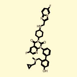 CN(Cc1cc(O)ccc1-c1cccc(-n2c(=O)n(C3CCC(NCc4cn5cc(F)ccc5n4)CC3)c(=O)c3cc(F)cnc32)c1)CC1CC1